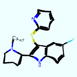 O=CN1CCCC1c1[nH]c2ccc(F)cc2c1Sc1ccccn1